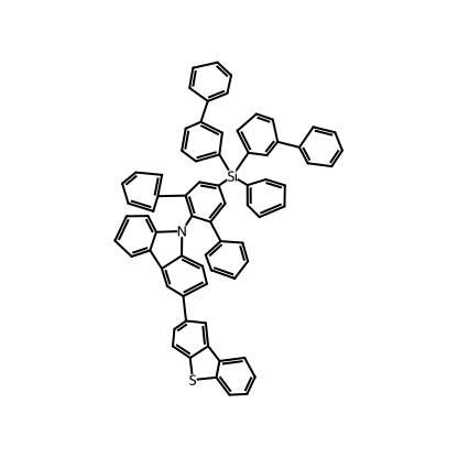 c1ccc(-c2cccc([Si](c3ccccc3)(c3cccc(-c4ccccc4)c3)c3cc(-c4ccccc4)c(-n4c5ccccc5c5cc(-c6ccc7sc8ccccc8c7c6)ccc54)c(-c4ccccc4)c3)c2)cc1